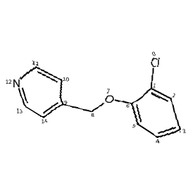 Clc1c[c]ccc1OCc1ccncc1